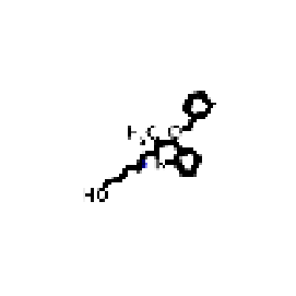 Cc1c(/C=C/CCCO)nc2ccccc2c1OCc1ccccc1